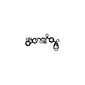 O=C(NCC(O)CN1CCc2c([nH]c3ccccc23)C1)c1ccc(C(=O)N2C3CCC2COC3)cc1